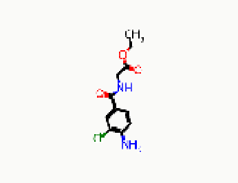 CCOC(=O)CNC(=O)c1ccc(N)c(Cl)c1